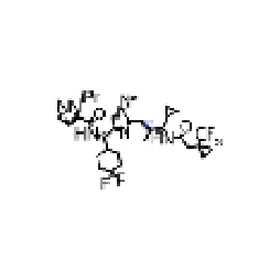 C=Nn1cc([C@@H](NC(=O)c2ccnn2C(C)C)C2CCC(F)(F)CC2)nc1/C=C(\C)[C@H](NC(=O)CC1(C(F)(F)F)CC1)C1CC1